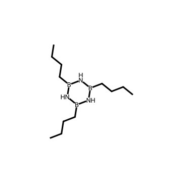 CCCCB1NB(CCCC)NB(CCCC)N1